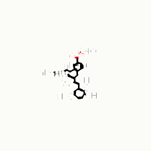 C=C=C(Cc1ccc(C(=O)OC=O)cc1CC(CCCCC)CCCCC)/C(=C/C1=C(C)C(C)C=CC(C)=C1)C(C)=O